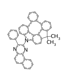 CC1(C)c2cccc3c4ccccc4c4cccc5c4c4c(c1ccc4n5-c1nc4c(ccc5ccccc54)nc1-c1ccccc1)c23